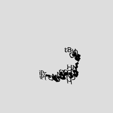 CC(C)C(COc1ccn(-c2ccc(C(=O)NS(=O)(=O)c3cccc(NCCC[C@@H]4CN(C(=O)OC(C)(C)C)C(C)(C)C4)n3)c(Cl)n2)n1)C(C)C